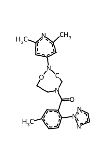 Cc1ccc(-n2nccn2)c(C(=O)N2CCON(c3cc(C)nc(C)c3)CC2)c1